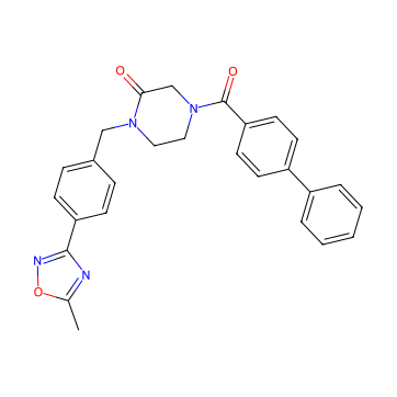 Cc1nc(-c2ccc(CN3CCN(C(=O)c4ccc(-c5ccccc5)cc4)CC3=O)cc2)no1